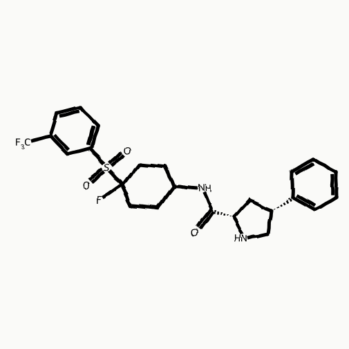 O=C(NC1CCC(F)(S(=O)(=O)c2cccc(C(F)(F)F)c2)CC1)[C@@H]1C[C@H](c2ccccc2)CN1